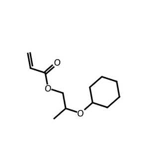 C=CC(=O)OCC(C)OC1CCCCC1